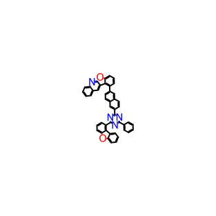 c1ccc(-c2nc(-c3ccc4cc(-c5cccc6oc7nc8ccccc8cc7c56)ccc4c3)nc(-c3cccc4oc5ccccc5c34)n2)cc1